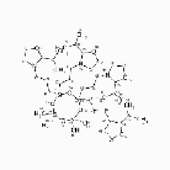 CC(C)C1OCCN1CCC[Si]1(CCCN2CCOC2C(C)C)O[Si](C)(C)O[Si](C)(C)O[Si](CCCN2CCOC2C(C)C)(CCCN2CCOC2C(C)C)O1